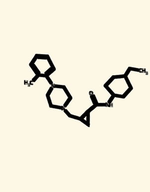 CCC1CCC(NC(=O)C2CC2CN2CCN(c3ccccc3C)CC2)CC1